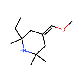 CCC1(C)C/C(=C/OC)CC(C)(C)N1